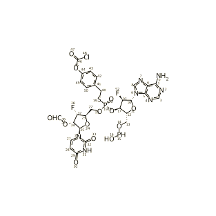 Nc1ncnc2c1ncn2[C@@H]1O[C@H](COPO)[C@@H](OP(=O)(OC[C@H]2O[C@@H](n3ccc(=O)[nH]c3=O)[C@H](OC=O)[C@@H]2F)SCc2ccc(OC(=O)Cl)cc2)[C@H]1F